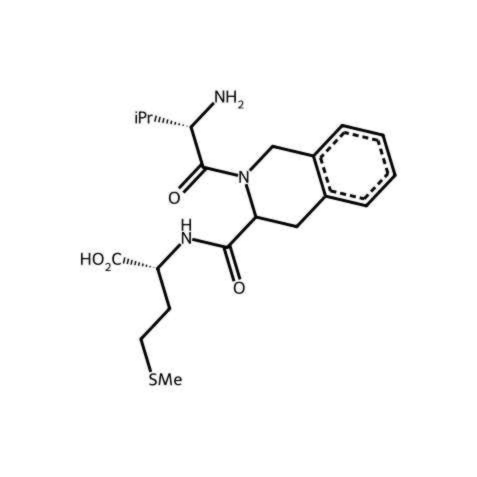 CSCC[C@@H](NC(=O)C1Cc2ccccc2CN1C(=O)[C@@H](N)C(C)C)C(=O)O